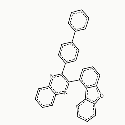 c1ccc(-c2ccc(-c3nc4ccccc4nc3-c3cccc4oc5ccccc5c34)cc2)cc1